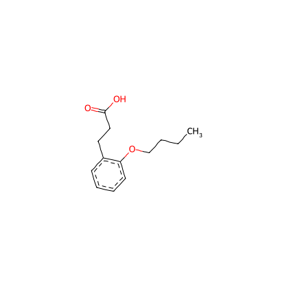 CCCCOc1ccccc1CCC(=O)O